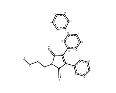 CCCCN1C(=O)C(c2ccccc2)=C(c2ccccc2)C1=O.c1ccccc1